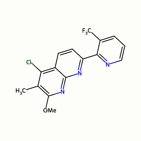 COc1nc2nc(-c3ncccc3C(F)(F)F)ccc2c(Cl)c1C